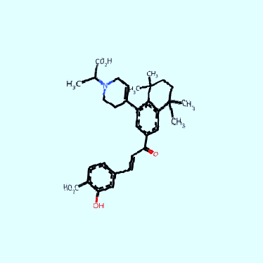 CC(C(=O)O)N1CC=C(c2cc(C(=O)C=Cc3ccc(C(=O)O)c(O)c3)cc3c2C(C)(C)CCC3(C)C)CC1